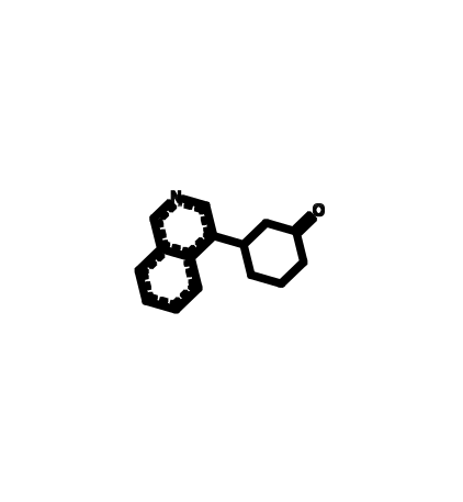 O=C1CCCC(c2cncc3ccccc23)C1